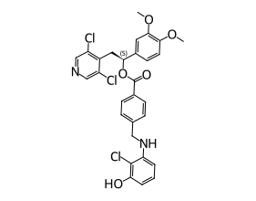 COc1ccc([C@H](Cc2c(Cl)cncc2Cl)OC(=O)c2ccc(CNc3cccc(O)c3Cl)cc2)cc1OC